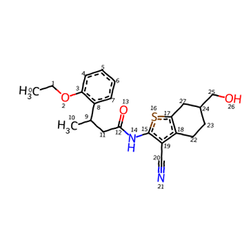 CCOc1ccccc1C(C)CC(=O)Nc1sc2c(c1C#N)CCC(CO)C2